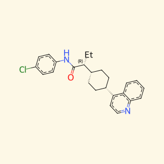 CC[C@@H](C(=O)Nc1ccc(Cl)cc1)[C@H]1CC[C@@H](c2ccnc3ccccc32)CC1